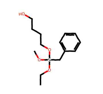 CCO[Si](Cc1ccccc1)(OC)OCCCCO